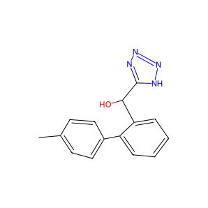 Cc1ccc(-c2ccccc2C(O)c2nnn[nH]2)cc1